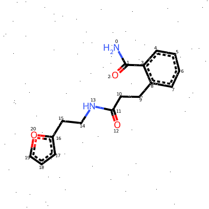 NC(=O)c1ccccc1[CH]CC(=O)NCCc1ccco1